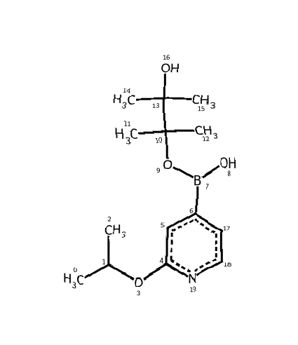 CC(C)Oc1cc(B(O)OC(C)(C)C(C)(C)O)ccn1